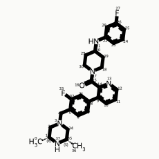 C[C@@H]1CN(Cc2ccc(-c3cccnc3C(=O)N3CCC(Nc4cccc(F)c4)CC3)cc2F)C[C@H](C)N1